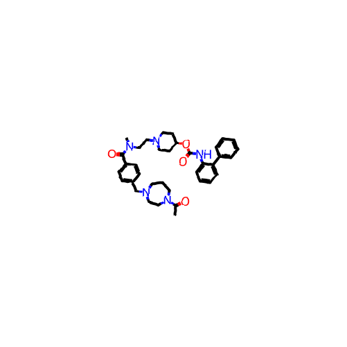 CC(=O)N1CCCN(Cc2ccc(C(=O)N(C)CCN3CCC(OC(=O)Nc4ccccc4-c4ccccc4)CC3)cc2)CC1